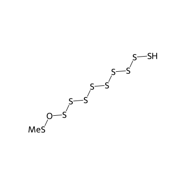 CSOSSSSSSSSS